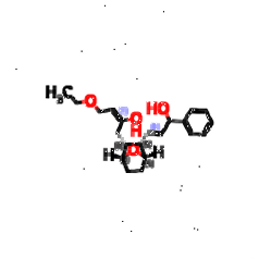 CCOC/C=C(/O)C[C@@H]1[C@H](/C=C/C(O)c2ccccc2)[C@@H]2CC[C@H]1O2